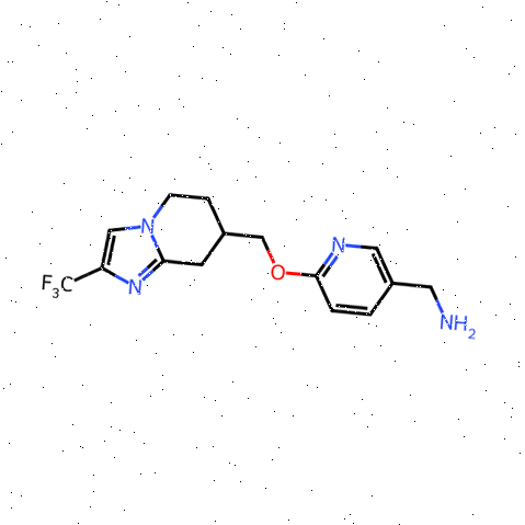 NCc1ccc(OCC2CCn3cc(C(F)(F)F)nc3C2)nc1